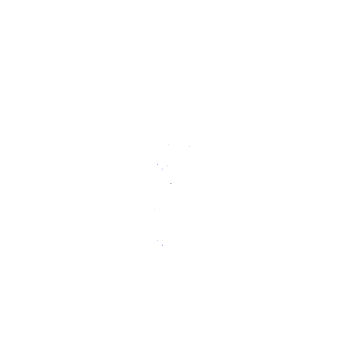 CCCCCN(CC)CCCN